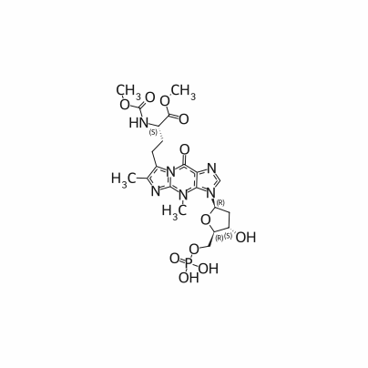 COC(=O)N[C@@H](CCc1c(C)nc2n(C)c3c(ncn3[C@H]3C[C@H](O)[C@@H](COP(=O)(O)O)O3)c(=O)n12)C(=O)OC